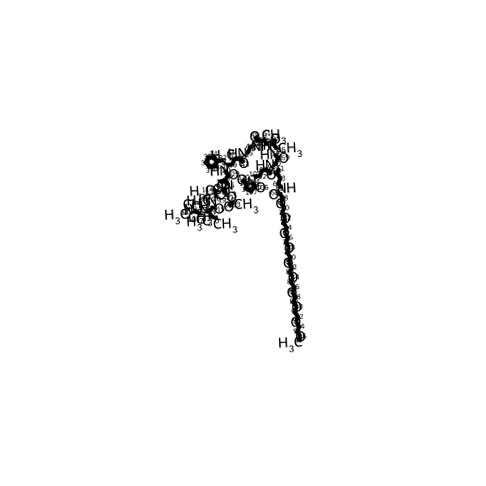 CC[C@H](C)[C@H](NC(=O)C(C)(C)N(C)C)C(=O)N(C)[C@H](C[C@@H](OC(C)=O)c1nc(C(=O)N[C@@H](Cc2ccccc2)C[C@H](C)C(=O)NCCNC(=O)[C@H](C)NC(=O)[C@H](C)NC(=O)[C@H](CCCCNC(=O)COCCOCCOCCOCCOCCOCCOCCOCCOCCOC)NC(=O)CCCN2C(=O)C=CC2=O)cs1)C(C)C